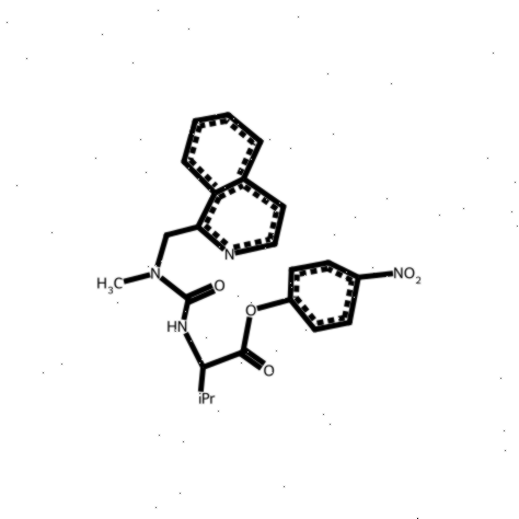 CC(C)C(NC(=O)N(C)Cc1nccc2ccccc12)C(=O)Oc1ccc([N+](=O)[O-])cc1